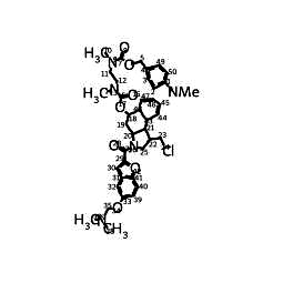 CNc1ccc(COC(=O)N(C)CCN(C)C(=O)OC2CC3C(C(CCl)CN3C(=O)c3cc4cc(OCN(C)C)ccc4o3)C3C=CC=CC23)cc1